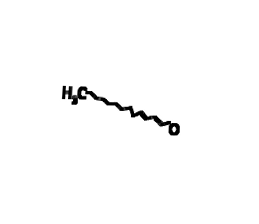 CCCCCCCCC/C=C/C=C/C=O